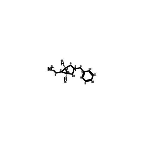 N#CCC1[C@H]2CN(Cc3ccccc3)C[C@@H]12